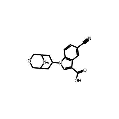 CN1C2COCC1CC(n1cc(C(=O)O)c3cc(C#N)ccc31)C2